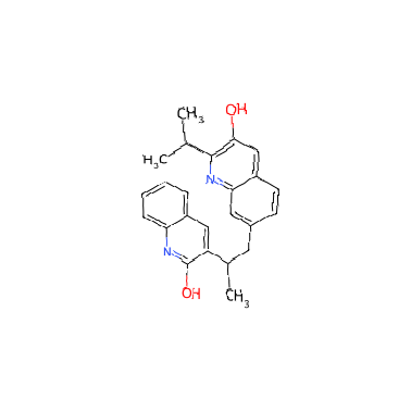 CC(C)c1nc2cc(CC(C)c3cc4ccccc4nc3O)ccc2cc1O